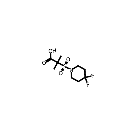 CC(C)(C(=O)O)S(=O)(=O)N1CCC(F)(F)CC1